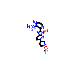 Nc1nccnc1-c1nc2ccc(-c3ccc(OCF)nc3)nc2n1O